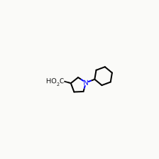 O=C(O)C1CCN(C2CCCCC2)C1